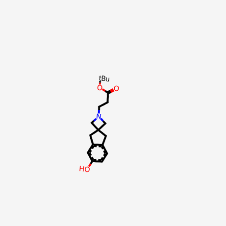 CC(C)(C)OC(=O)CCN1CC2(Cc3ccc(O)cc3C2)C1